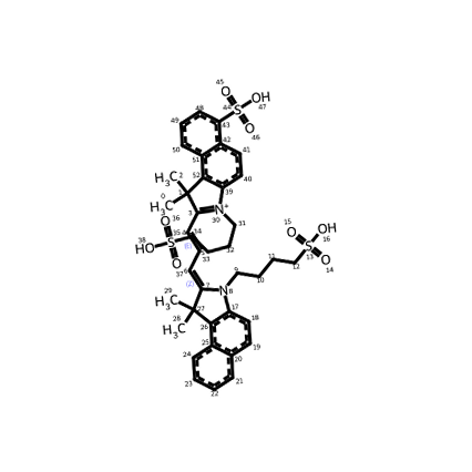 CC1(C)C(/C=C/C=C2\N(CCCCS(=O)(=O)O)c3ccc4ccccc4c3C2(C)C)=[N+](CCCCS(=O)(=O)O)c2ccc3c(S(=O)(=O)O)cccc3c21